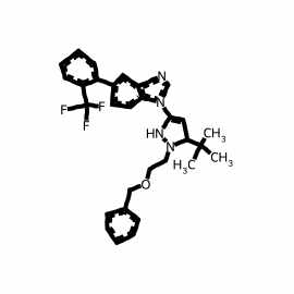 CC(C)(C)C1C=C(n2cnc3cc(-c4ccccc4C(F)(F)F)ccc32)NN1CCOCc1ccccc1